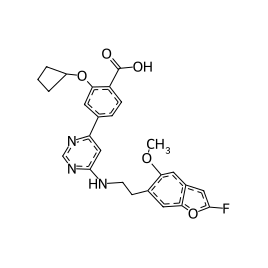 COc1cc2cc(F)oc2cc1CCNc1cc(-c2ccc(C(=O)O)c(OC3CCC3)c2)ncn1